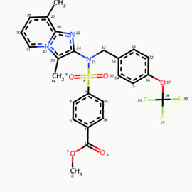 COC(=O)c1ccc(S(=O)(=O)N(Cc2ccc(OC(F)(F)F)cc2)c2nc3c(C)cccn3c2C)cc1